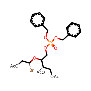 CC(=O)OC[C@@H](Br)OC(COP(=O)(OCc1ccccc1)OCc1ccccc1)[C@H](COC(C)=O)OC(C)=O